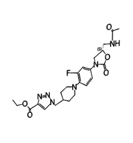 CCOC(=O)c1cn(CC2CCN(c3ccc(N4C[C@H](CNC(C)=O)OC4=O)cc3F)CC2)nn1